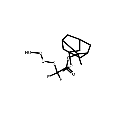 COC12CC3CC(C1)C(C)(OC(=O)C(F)(F)SOOO)C(C3)C2